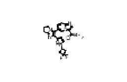 NC(=O)c1cnc2ccc(-c3c(-c4ccn(C5CC(F)(F)C5)n4)nc4n3CCC4)cn12